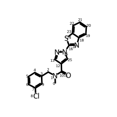 CN(Cc1cccc(Cl)c1)C(=O)c1cnn(-c2nc3ccccc3s2)c1